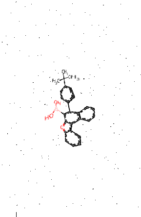 CC(C)(C)c1ccc(-c2c(B(O)O)c3oc4ccccc4c3c3ccccc23)cc1